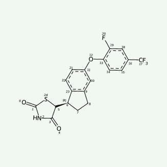 O=C1NC(=O)C([C@@H]2CCc3cc(Oc4ccc(C(F)(F)F)cc4F)ccc32)S1